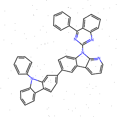 c1ccc(-c2nc(-n3c4ccc(-c5ccc6c7ccccc7n(-c7ccccc7)c6c5)cc4c4cccnc43)nc3ccccc23)cc1